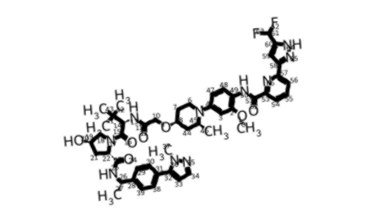 COc1cc(N2CC[C@H](OCC(=O)N[C@H](C(=O)N3C[C@H](O)C[C@H]3C(=O)N[C@@H](C)c3ccc(-c4ccnn4C)cc3)C(C)(C)C)C[C@@H]2C)ccc1NC(=O)c1cccc(-c2cc(C(F)F)[nH]n2)n1